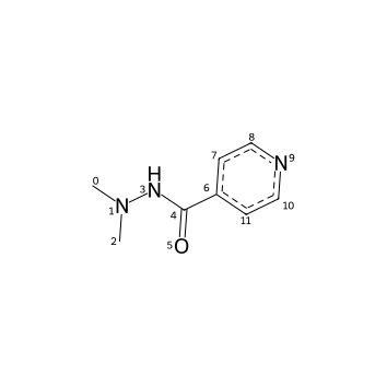 CN(C)NC(=O)c1ccncc1